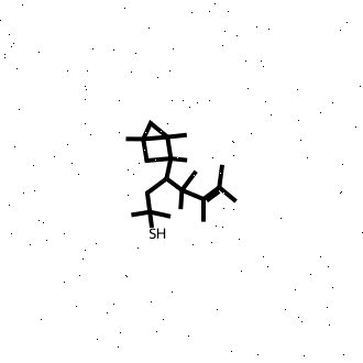 CC(C)=C(C)C(C)(C)C(CC(C)(C)S)C1(C)CC2(C)CC21C